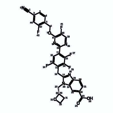 N#Cc1ccc(COc2nc(-c3cc(F)c(Cc4nc5ccc(C(=O)O)cc5n4C[C@@H]4CCO4)c(F)c3F)ncc2F)c(F)c1